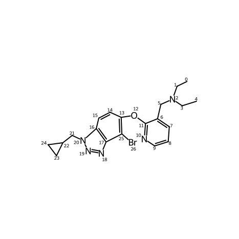 CCN(CC)Cc1cccnc1Oc1ccc2c(nnn2CC2CC2)c1Br